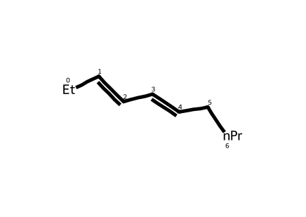 [CH2]CC=CC=CCCCC